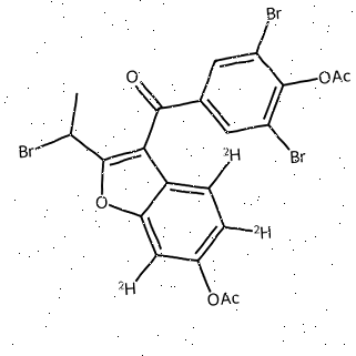 [2H]c1c(OC(C)=O)c([2H])c2oc(C(C)Br)c(C(=O)c3cc(Br)c(OC(C)=O)c(Br)c3)c2c1[2H]